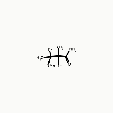 CCC(C)(NC)C(C)(CC)C(N)=O